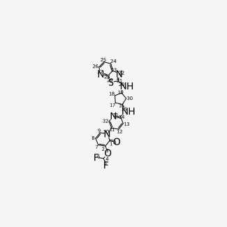 O=c1c(OC(F)F)cccn1-c1ccc(N[C@H]2CC[C@H](Nc3nc4cccnc4s3)C2)nc1